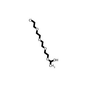 CC(O)OCCOCCOCCOCCCl